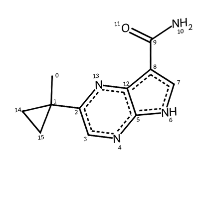 CC1(c2cnc3[nH]cc(C(N)=O)c3n2)CC1